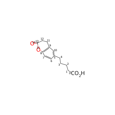 O=C(O)CCCCc1ccc2c(c1)CCC(=O)O2